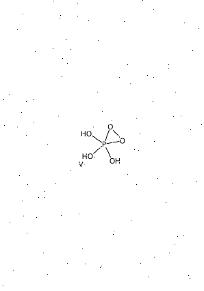 OP1(O)(O)OO1.[V]